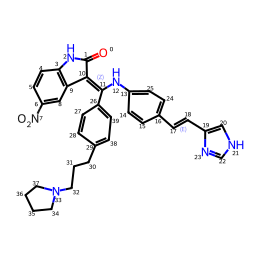 O=C1Nc2ccc([N+](=O)[O-])cc2/C1=C(/Nc1ccc(/C=C/c2c[nH]cn2)cc1)c1ccc(CCCN2CCCC2)cc1